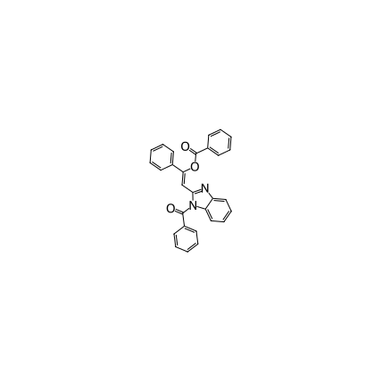 O=C(OC(=Cc1nc2ccccc2n1C(=O)c1ccccc1)c1ccccc1)c1ccccc1